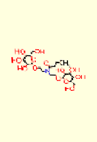 CCCC(=O)N(CCO[C@H]1O[C@H](CO)[C@@H](O)[C@H](O)[C@@H]1O)CCO[C@H]1O[C@H](CO)[C@@H](O)[C@H](O)[C@@H]1O